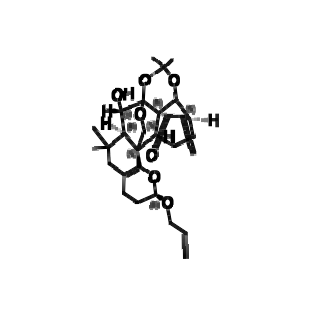 C=CCO[C@H]1CCC2=C(O1)[C@@]13COC4(OC(C)(C)OC5[C@H]6CC[C@@H]1[C@]54C(=O)C6=C)[C@@H](O)[C@@H]3C(C)(C)C2